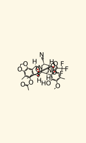 COc1c(C)cc2c(c1O)[C@@H]1N[C@H](C2)[C@H](C#N)N2C1[C@@H]1SC[C@H](OC(=O)C(F)(F)F)C(=O)OC[C@H]2c2c3c(c(C)c(OC(C)=O)c21)OCO3